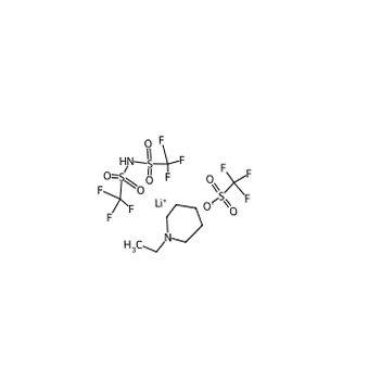 CCN1CCCCC1.O=S(=O)(NS(=O)(=O)C(F)(F)F)C(F)(F)F.O=S(=O)([O-])C(F)(F)F.[Li+]